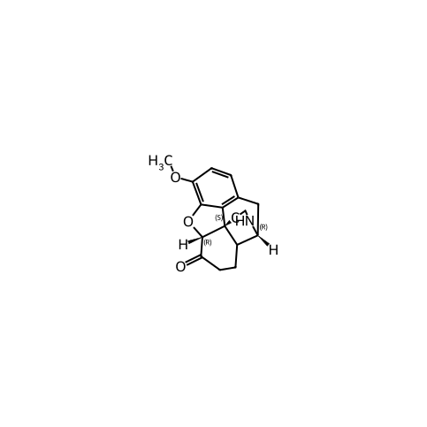 COc1ccc2c3c1O[C@H]1C(=O)CCC4[C@@H](C2)NCC[C@@]341